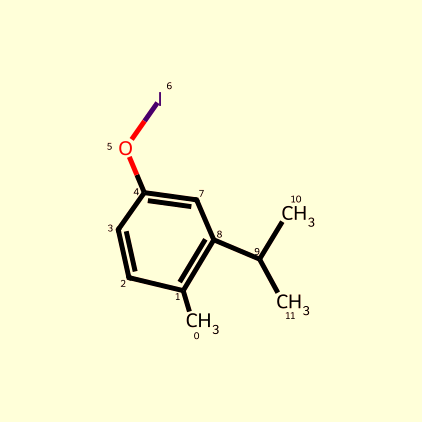 Cc1ccc(OI)cc1C(C)C